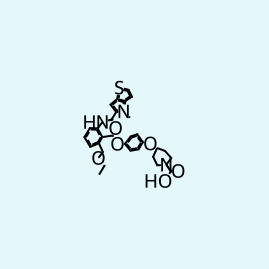 CCOCc1cccc(NC(=O)c2cc3sccc3n2C)c1COc1ccc(OC2CCN(C(=O)O)CC2)cc1